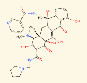 CN(C)[C@@H]1C(O)=C(C(=O)NCN2CCCC2)C(=O)[C@@]2(O)C(O)=C3C(=O)c4c(O)cccc4[C@@](C)(O)C3C[C@@H]12.NC(=O)c1cccnc1